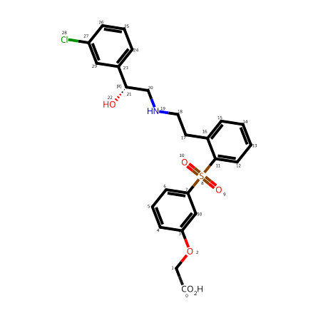 O=C(O)COc1cccc(S(=O)(=O)c2ccccc2CCNC[C@H](O)c2cccc(Cl)c2)c1